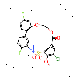 COc1c(Cl)cc2cc1S(=O)(=O)Nc1cc(ccc1F)-c1ccc(F)cc1OCCOC2=O